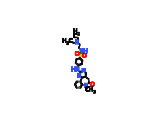 CCN(CC)CCNS(=O)(=O)c1ccc(Nc2ncc3c(n2)-c2ccccc2N(C)C(=O)C3)cc1